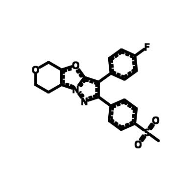 CS(=O)(=O)c1ccc(-c2nn3c4c(oc3c2-c2ccc(F)cc2)COCC4)cc1